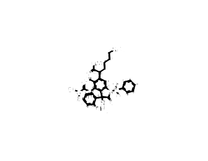 CCN(CC)C(=O)Nc1c(Cl)c(C(CCCCN)C(=O)OC)cc2c1C(N)(c1ccccc1Cl)C(=O)N2S(=O)(=O)c1ccccc1